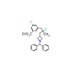 CCOC(=O)c1cc(F)cc(CC(C)(F)CC2CN(C(c3ccccc3)c3ccccc3)C2)c1